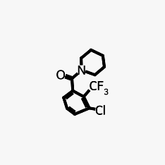 O=C(c1cccc(Cl)c1C(F)(F)F)N1CCCCC1